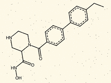 CCc1ccc(-c2ccc(C(=O)N3CCNCC3C(=O)NO)cc2)cc1